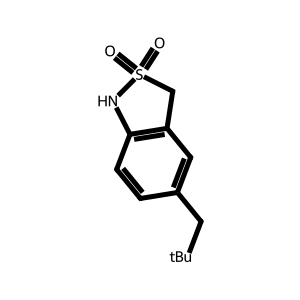 CC(C)(C)Cc1ccc2c(c1)CS(=O)(=O)N2